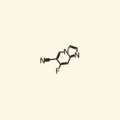 N#Cc1cn2ccnc2cc1F